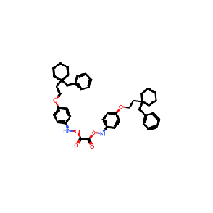 O=C(ONc1ccc(OCCC2(Cc3ccccc3)CCCCC2)cc1)C(=O)ONc1ccc(OCCC2(Cc3ccccc3)CCCCC2)cc1